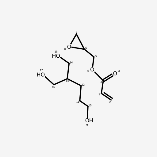 C=CC(=O)OCC1CO1.OCCCC(CO)CO